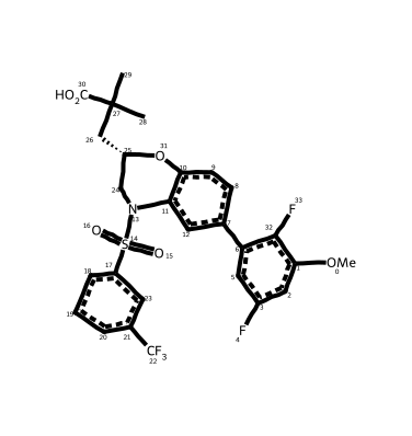 COc1cc(F)cc(-c2ccc3c(c2)N(S(=O)(=O)c2cccc(C(F)(F)F)c2)C[C@H](CC(C)(C)C(=O)O)O3)c1F